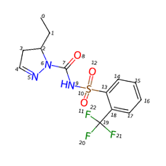 CCC1CC=NN1C(=O)NS(=O)(=O)c1ccccc1C(F)(F)F